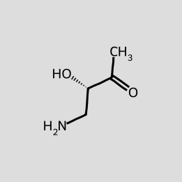 CC(=O)[C@@H](O)CN